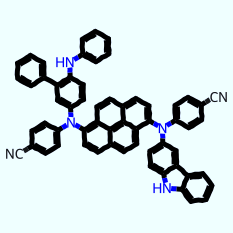 N#Cc1ccc(N(c2ccc(Nc3ccccc3)c(-c3ccccc3)c2)c2ccc3ccc4c(N(c5ccc(C#N)cc5)c5ccc6[nH]c7ccccc7c6c5)ccc5ccc2c3c54)cc1